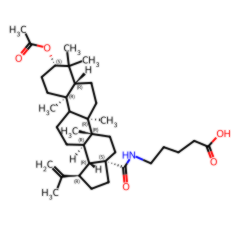 C=C(C)[C@@H]1CC[C@]2(C(=O)NCCCCC(=O)O)CC[C@]3(C)[C@H](CCC4[C@@]5(C)CC[C@H](OC(C)=O)C(C)(C)[C@@H]5CC[C@]43C)[C@@H]12